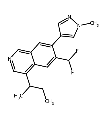 CCC(C)c1cncc2cc(-c3cnn(C)c3)c(C(F)F)cc12